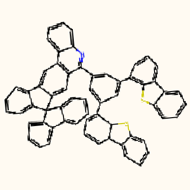 C1=CC2c3ccccc3SC2C(c2cc(-c3nc4ccccc4c4cc5c(cc34)C3(c4ccccc4-c4ccccc43)c3ccccc3-5)cc(-c3cccc4c3sc3ccccc34)c2)=C1